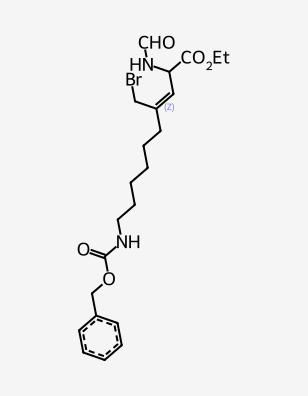 CCOC(=O)C(/C=C(\CBr)CCCCCCNC(=O)OCc1ccccc1)NC=O